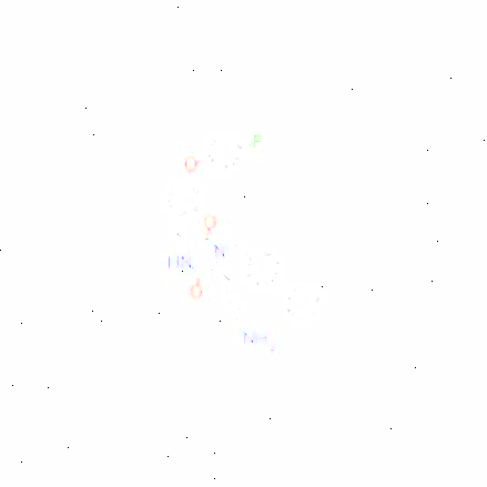 NCCCC[C@H]1C(=O)N[C@@H](Cc2ccc(Oc3ccc(F)cc3)cc2)C(=O)N1Cc1ccc(-c2ccccc2)cc1